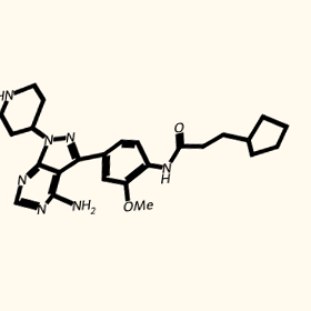 COc1cc(-c2nn(C3CCNCC3)c3ncnc(N)c23)ccc1NC(=O)CCC1CCCC1